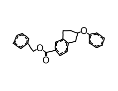 O=C(OCc1ccccc1)c1ccc2c(c1)CCC(Oc1ccccc1)C2